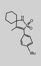 CC1=C(c2ccc(C(C)(C)C)cc2)S(=O)(=O)NC12CCCCC2